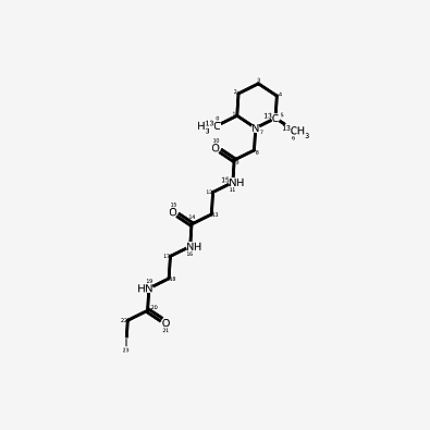 [13CH3]C1CCC[13CH]([13CH3])N1CC(=O)[15NH]CCC(=O)NCCNC(=O)CI